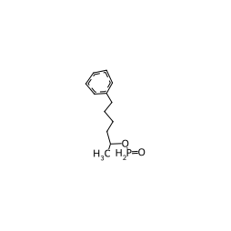 CC(CCCCc1ccccc1)O[PH2]=O